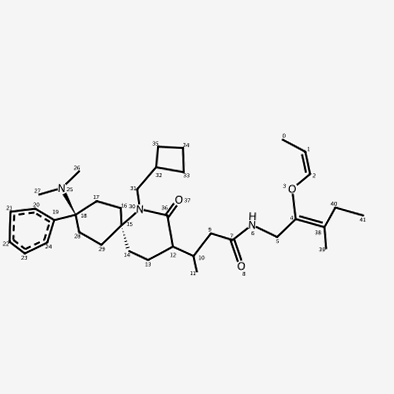 C/C=C\O/C(CNC(=O)CC(C)C1CC[C@]2(CC[C@](c3ccccc3)(N(C)C)CC2)N(CC2CCC2)C1=O)=C(/C)CC